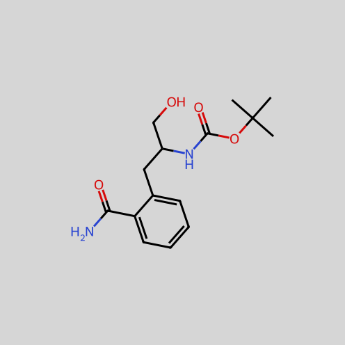 CC(C)(C)OC(=O)NC(CO)Cc1ccccc1C(N)=O